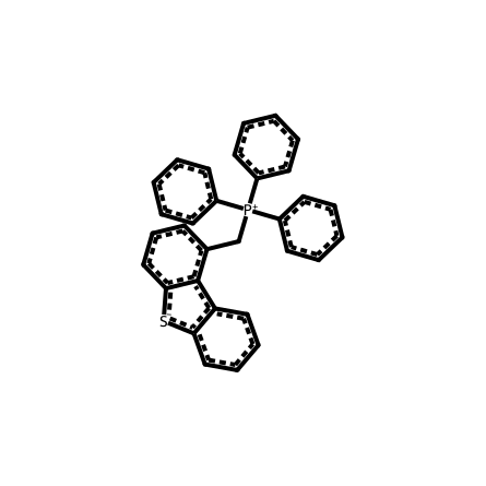 c1ccc([P+](Cc2cccc3sc4ccccc4c23)(c2ccccc2)c2ccccc2)cc1